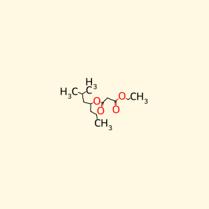 CCCC(CC(C)C)OC(=O)CC(=O)OCC